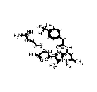 Cc1oc([C@H](CC(C)C)NC(=O)Cc2ccc(C(F)(F)F)cc2)nc1C(=O)N[C@@H](CCCNC(=N)N)C(=O)O